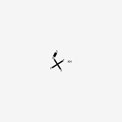 FC(F)(F)N=S.[KH]